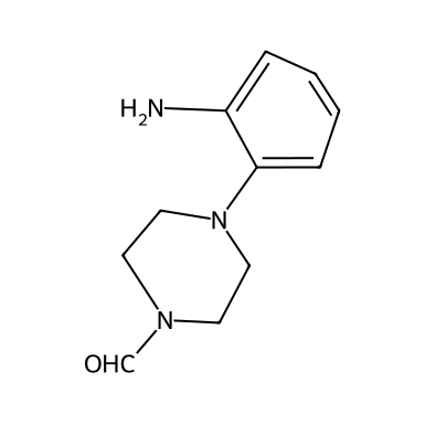 Nc1ccccc1N1CCN(C=O)CC1